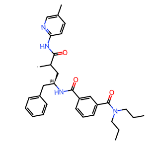 [CH2]C(C[C@H](Cc1ccccc1)NC(=O)c1cccc(C(=O)N(CCC)CCC)c1)C(=O)Nc1ccc(C)cn1